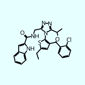 CCc1cc(C(=O)c2ccccc2Cl)c(-n2c(CNC(=O)c3cc4ccccc4[nH]3)nnc2C(C)C)s1